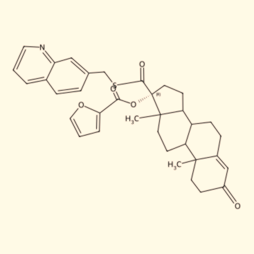 CC12CCC(=O)C=C1CCC1C2CCC2(C)C1CC[C@]2(OC(=O)c1ccco1)C(=O)SCc1ccc2cccnc2c1